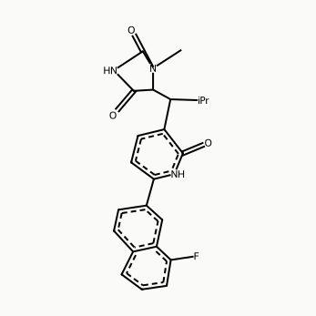 CC(C)C(c1ccc(-c2ccc3cccc(F)c3c2)[nH]c1=O)C1C(=O)NC(=O)N1C